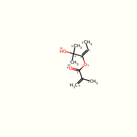 C=C(C)C(=O)OC(=CC)C(C)(C)O